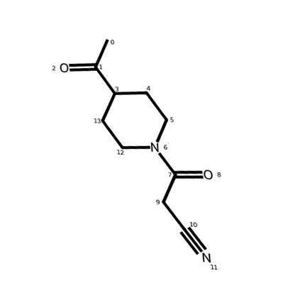 CC(=O)C1CCN(C(=O)CC#N)CC1